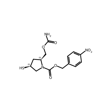 NC(=O)OC[C@@H]1C[C@H](S)CN1C(=O)OCc1ccc([N+](=O)[O-])cc1